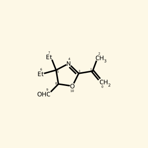 C=C(C)C1=NC(CC)(CC)C(C=O)O1